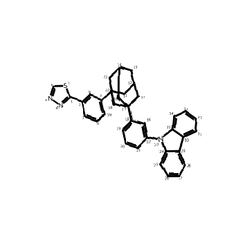 c1cc(-c2nncs2)cc(C23CC4CC(C2)CC(c2cccc(-n5c6ccccc6c6ccccc65)c2)(C4)C3)c1